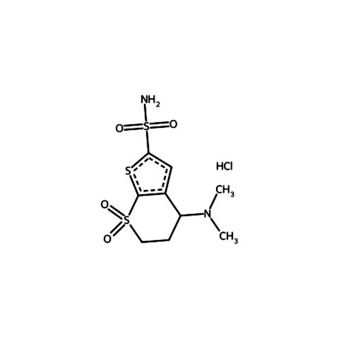 CN(C)C1CCS(=O)(=O)c2sc(S(N)(=O)=O)cc21.Cl